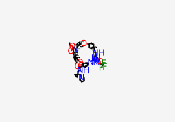 CCOC(=O)N1CCCCOc2cc(ccc2C(=O)NCC2(CN3CCCC3)CC2)Nc2nc(nc(OCC(F)(F)F)n2)NCc2ccc(cc2)OCCC1